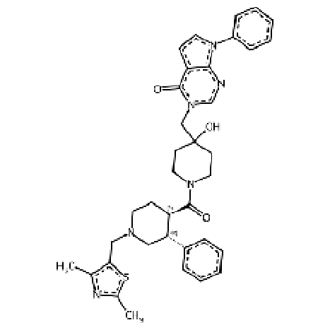 Cc1nc(C)c(CN2CC[C@@H](C(=O)N3CCC(O)(Cn4cnc5c(ccn5-c5ccccc5)c4=O)CC3)[C@H](c3ccccc3)C2)s1